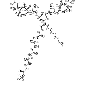 COCCOCCOCCN(CCCC(=O)NCC(=O)NCC(=O)NCC(=O)NCCC(=O)OC(C)(C)C)c1cc(COc2cc3c(cc2OC)C(=O)N2c4ccccc4C[C@H]2C=N3)cc(COc2cc3c(cc2OC)C(=O)N2c4ccccc4C[C@H]2C=N3)c1